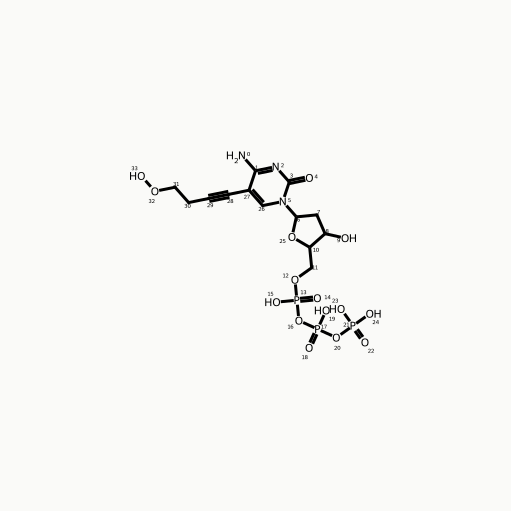 Nc1nc(=O)n(C2CC(O)C(COP(=O)(O)OP(=O)(O)OP(=O)(O)O)O2)cc1C#CCCOO